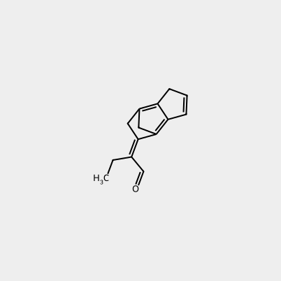 CCC(C=O)=C1CC2=C3CC=CC3=C1C2